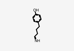 N=CCCCc1ccc(O)cc1